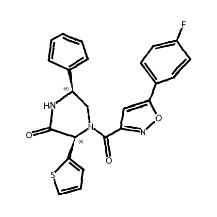 O=C1N[C@@H](c2ccccc2)CN(C(=O)c2cc(-c3ccc(F)cc3)on2)[C@H]1c1cccs1